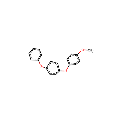 [CH2]Oc1ccc(Oc2ccc(Oc3ccccc3)cc2)cc1